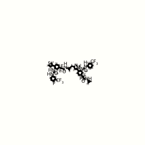 Cn1nc(CC2CC2NC(=O)C(F)(F)c2ccc(-c3ccsc3)c(NC(=O)Nc3ccc(F)c(C(F)(F)F)c3)c2)cc1-c1ccc(C(F)(F)C(=O)NC2CC2)cc1NC(=O)Nc1cccc(C(F)(F)F)c1